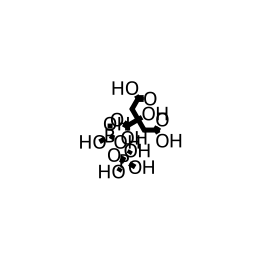 O=C(O)CC(O)(CC(=O)O)C(=O)O.O=P(O)(O)O.OB(O)O